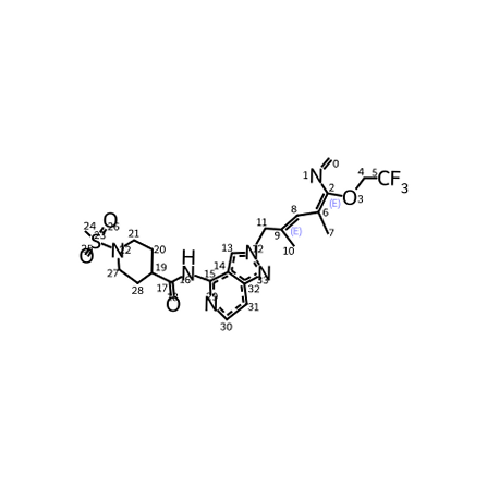 C=N/C(OCC(F)(F)F)=C(C)\C=C(/C)Cn1cc2c(NC(=O)C3CCN(S(C)(=O)=O)CC3)nccc2n1